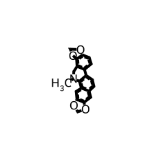 CN1Cc2c(ccc3c2OCO3)-c2ccc3cc4c(cc3c21)OCO4